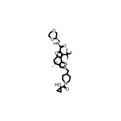 C[C@@H]1Cc2oc(C(=O)NC[C@@H]3COCCO3)c(C(F)(F)F)c2-c2nn(CC3CCN(C(=O)C4(O)CC4)CC3)cc21